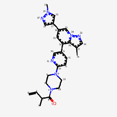 C=CC(C)C(=O)N1CCN(c2ccc(-c3cc(-c4cnn(C)c4)cn4ncc(C)c34)cn2)CC1